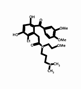 CCc1c(O)cc(O)c(C(=O)c2ccc(OC)c(OC)c2)c1CC(=O)N(CCCN(C)C)CCOC